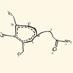 NC(=O)Cc1cc(Cl)c(Cl)c(Cl)c1